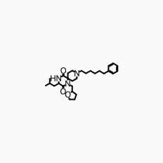 CC(C)CC1NC(=O)C2(CCN(CCCCCCc3ccccc3)CC2)N(CC2CCCO2)C1=O